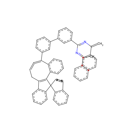 C=C(/N=C(\N=C(/C)c1ccccc1)c1cccc(-c2cccc(C3=C=CCC4=C(c5ccccc53)C3(c5ccccc54)c4ccccc4-c4ccccc43)c2)c1)c1ccccc1